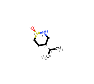 CC(C)[C@@H]1CC[S+]([O-])NC1